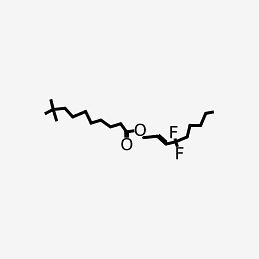 CCCCCC(F)(F)/C=C/COC(=O)CCCCCCCC(C)(C)C